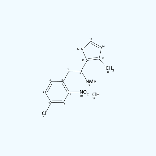 CNC(Cc1ccc(Cl)cc1[N+](=O)[O-])c1sccc1C.Cl